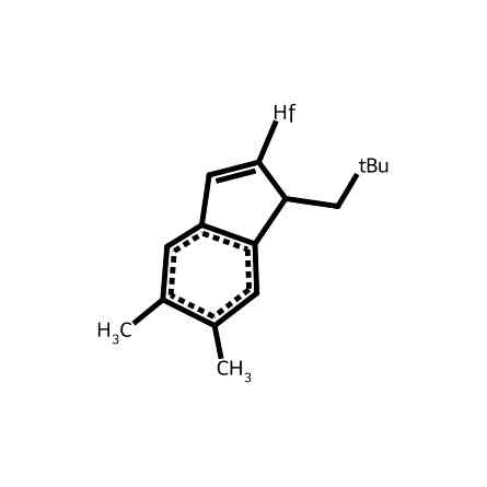 Cc1cc2c(cc1C)C(CC(C)(C)C)[C]([Hf])=C2